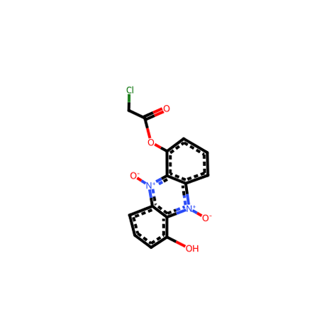 O=C(CCl)Oc1cccc2c1[n+]([O-])c1cccc(O)c1[n+]2[O-]